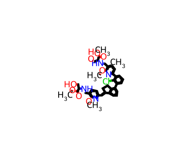 COC(=O)C(CO)NCc1ccc(/C=C2\CCc3c2cccc3-c2cccc(-c3cc(C)c(CNC(CO)C(=O)OC)c(OC)n3)c2Cl)nc1OC